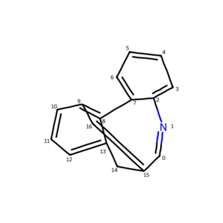 C1=Nc2ccccc2-c2c3cccc2CC1=C3